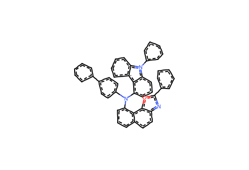 c1ccc(-c2ccc(N(c3cccc4ccc5nc(-c6ccccc6)oc5c34)c3cccc4c3c3ccccc3n4-c3ccccc3)cc2)cc1